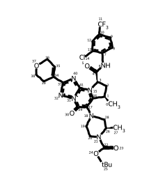 C[C@@H]1C[C@H](C(=O)Nc2ccc(C(F)(F)F)cc2Cl)n2c1c(N1CCN(C(=O)OC(C)(C)C)[C@H](C)C1)c(=O)n1nc(C3=CCOCC3)nc21